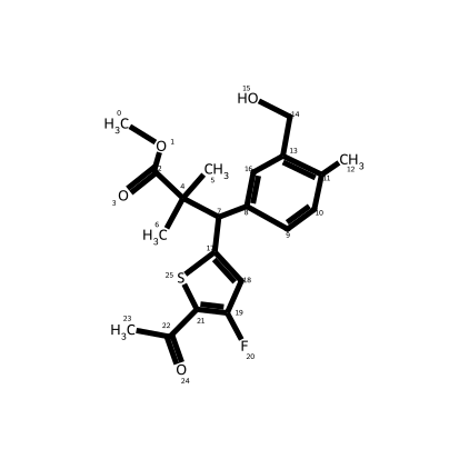 COC(=O)C(C)(C)C(c1ccc(C)c(CO)c1)c1cc(F)c(C(C)=O)s1